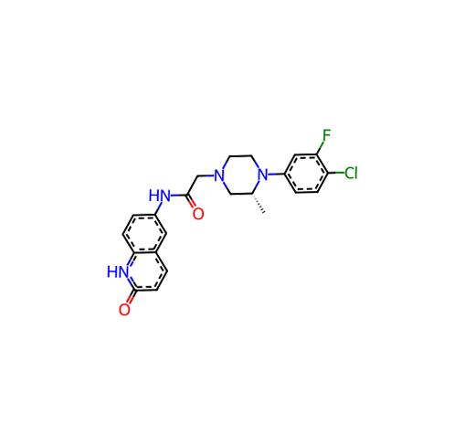 C[C@@H]1CN(CC(=O)Nc2ccc3[nH]c(=O)ccc3c2)CCN1c1ccc(Cl)c(F)c1